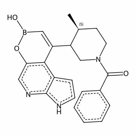 C[C@H]1CCN(C(=O)c2ccccc2)CC1C1=CB(O)Oc2cnc3[nH]ccc3c21